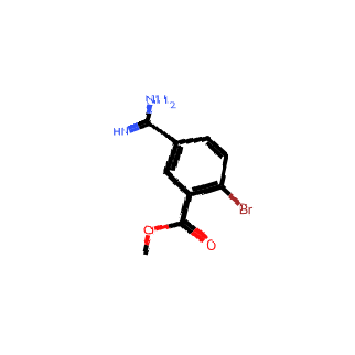 COC(=O)c1cc(C(=N)N)ccc1Br